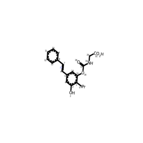 CC(C)c1c(O)cc(/C=C/c2ccccc2)cc1OC(=O)NCC(=O)O